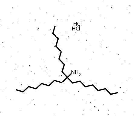 CCCCCCCCC(N)(CCCCCCCC)CCCCCCCC.Cl.Cl